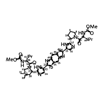 COC(=O)N[C@H](C(=O)N1CCC[C@H]1c1ncc(-c2nc3cc4sc(-c5cnc([C@@H]6C[Si](C)(C)CN6C(=O)[C@@H](NC(=O)OC)C(C)C)[nH]5)nc4cc3s2)[nH]1)C(C)C